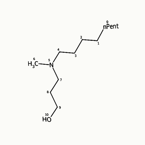 CCCCCCCCCN(C)CCCO